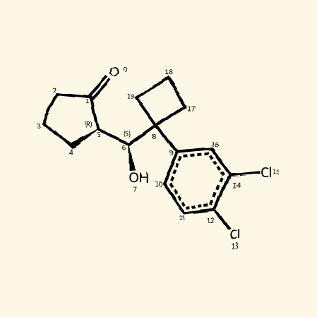 O=C1CCC[C@@H]1[C@H](O)C1(c2ccc(Cl)c(Cl)c2)CCC1